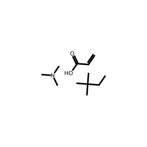 C=CC(=O)O.CCC(C)(C)C.CN(C)C